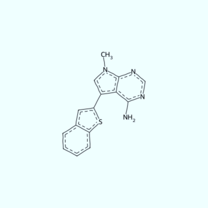 Cn1cc(-c2cc3ccccc3s2)c2c(N)ncnc21